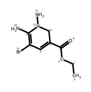 CCOC(=O)C1=CC(Br)=C(N)N(N)C1